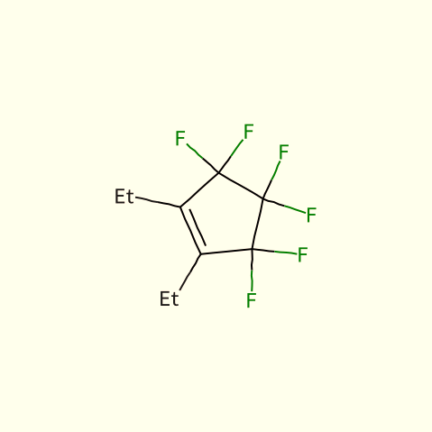 CCC1=C(CC)C(F)(F)C(F)(F)C1(F)F